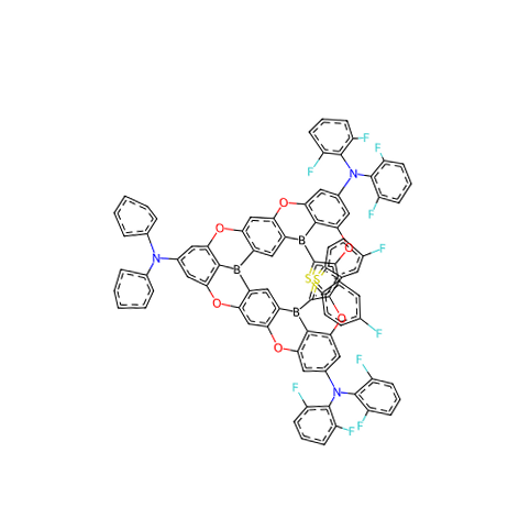 Fc1ccc2sc3c(c2c1)Oc1cc(N(c2c(F)cccc2F)c2c(F)cccc2F)cc2c1B3c1cc3c(cc1O2)Oc1cc(N(c2ccccc2)c2ccccc2)cc2c1B3c1cc3c(cc1O2)Oc1cc(N(c2c(F)cccc2F)c2c(F)cccc2F)cc2c1B3c1sc3ccc(F)cc3c1O2